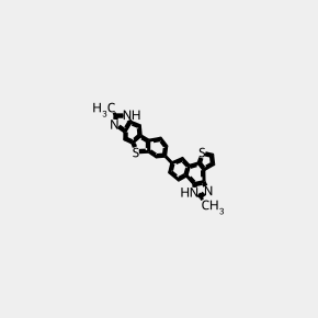 Cc1nc2cc3sc4cc(-c5ccc6c(c5)c5sccc5c5nc(C)[nH]c65)ccc4c3cc2[nH]1